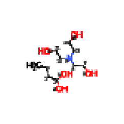 CCCC(O)O.OCCN(CCO)CCO